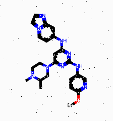 CCOc1ccc(Nc2nc(Nc3ccn4ccnc4c3)cc(N3CCN(C)C(C)C3)n2)cn1